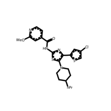 CCCC1CCN(c2sc(NC(=O)c3ccnc(OC)c3)nc2-c2cc(Cl)cs2)CC1